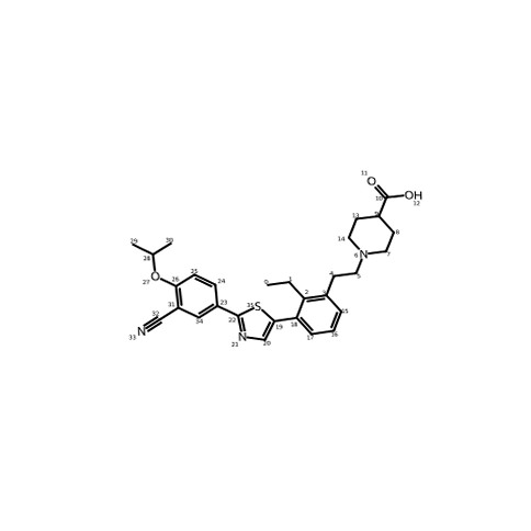 CCc1c(CCN2CCC(C(=O)O)CC2)cccc1-c1cnc(-c2ccc(OC(C)C)c(C#N)c2)s1